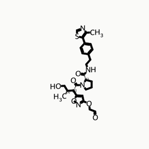 Cc1ncsc1-c1ccc(CCNC(=O)[C@@H]2CCCN2C(=O)[C@H](c2cc(OCC=O)no2)[C@H](C)CO)cc1